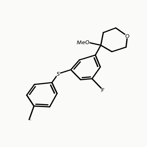 [CH2]c1ccc(Sc2cc(F)cc(C3(OC)CCOCC3)c2)cc1